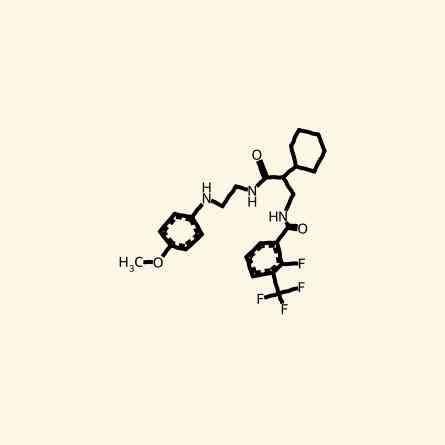 COc1ccc(NCCNC(=O)C(CNC(=O)c2cccc(C(F)(F)F)c2F)C2CCCCC2)cc1